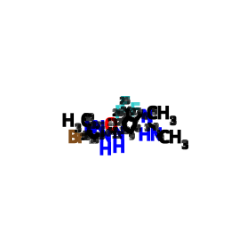 CNCCN(C)Cc1ccc(NC(=O)Nc2cc(Br)n(C)n2)cc1C(F)(F)F